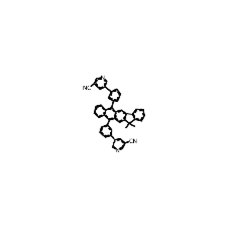 CC1(C)c2ccccc2-c2cc3c(-c4cccc(-c5cncc(C#N)c5)c4)c4ccccc4c(-c4cccc(-c5cncc(C#N)c5)c4)c3cc21